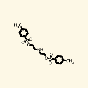 Cc1ccc(S(=O)(=O)OCCNCCOS(=O)(=O)c2ccc(C)cc2)cc1